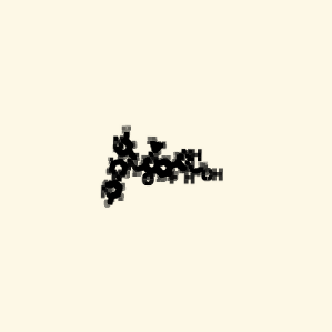 Cc1ccc(N2CCC[C@H](N(Cc3ccnc(C)c3)Cc3cn(C4CC4)c4cc(/C(C=N)=C/NCCO)c(F)cc4c3=O)C2)cn1